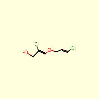 [O]CC(Cl)=COCC=CCl